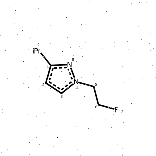 CC(C)c1ccn(CCF)n1